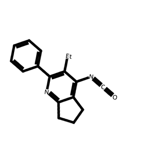 CCc1c(-c2ccccc2)nc2c(c1N=C=O)CCC2